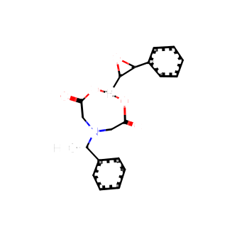 C[C@@H](c1ccccc1)N1CC(=O)OB(C2OC2c2ccccc2)OC(=O)C1